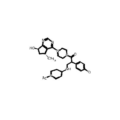 CC(=O)N1CCC(NCC(C(=O)N2CCN(c3ncnc4c3[C@H](C)C[C@H]4O)CC2)c2ccc(Cl)cc2)CC1